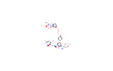 CCN(c1cc(-c2ccc(COCCOc3ccc4c(c3)C(=O)N([C@H](C(=O)O)C(C)C)C4)cc2)cc(C(=O)NCc2c(C)cc(C)[nH]c2=O)c1C)C1CCOCC1